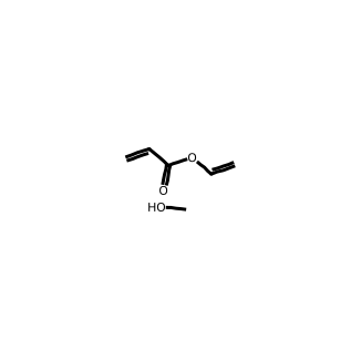 C=COC(=O)C=C.CO